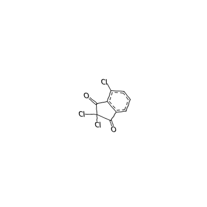 O=C1c2cccc(Cl)c2C(=O)C1(Cl)Cl